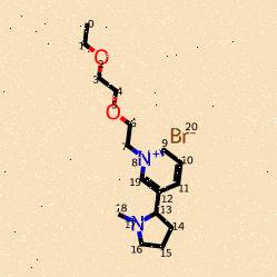 CCOCCOCC[n+]1cccc(C2CCCN2C)c1.[Br-]